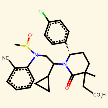 C[S+]([O-])N(CC(C1CC1)N1C(=O)C(C)(CC(=O)O)CC[C@H]1c1ccc(Cl)cc1)c1ccccc1C#N